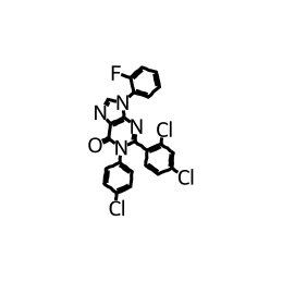 O=c1c2ncn(-c3ccccc3F)c2nc(-c2ccc(Cl)cc2Cl)n1-c1ccc(Cl)cc1